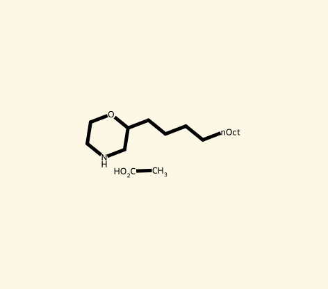 CC(=O)O.CCCCCCCCCCCCC1CNCCO1